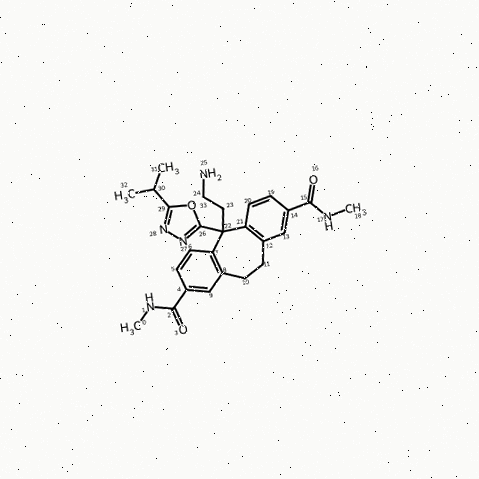 CNC(=O)c1ccc2c(c1)CCc1cc(C(=O)NC)ccc1C2(CCN)c1nnc(C(C)C)o1